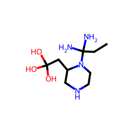 CCC(N)(N)N1CCNCC1CC(O)(O)O